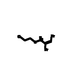 CC(C)C=C([SiH2]OCCCl)C(C)C